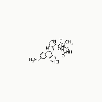 CC(NC(=O)c1nccc2nc(-c3ccc(CN)cc3)c(-c3ccccc3)cc12)c1n[nH]c(=O)[nH]1.Cl